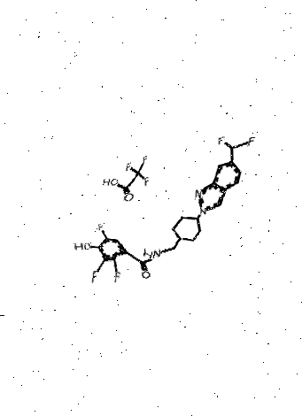 O=C(NCC1CCC(n2cc3ccc(C(F)F)cc3n2)CC1)c1cc(F)c(O)c(F)c1F.O=C(O)C(F)(F)F